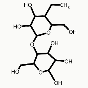 CCC1C(CO)OC(OC2C(CO)OC(O)C(O)C2O)C(O)C1O